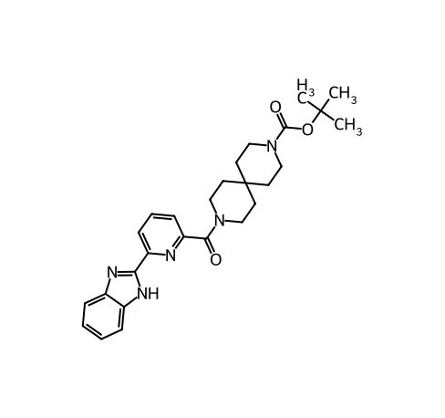 CC(C)(C)OC(=O)N1CCC2(CC1)CCN(C(=O)c1cccc(-c3nc4ccccc4[nH]3)n1)CC2